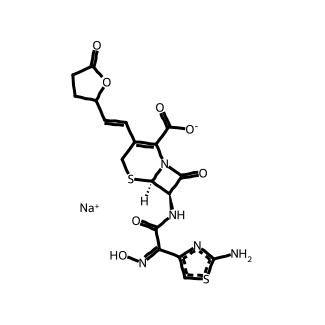 Nc1nc(/C(=N/O)C(=O)N[C@@H]2C(=O)N3C(C(=O)[O-])=C(/C=C/C4CCC(=O)O4)CS[C@H]23)cs1.[Na+]